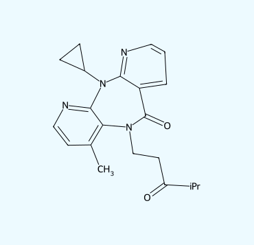 Cc1ccnc2c1N(CCC(=O)C(C)C)C(=O)c1cccnc1N2C1CC1